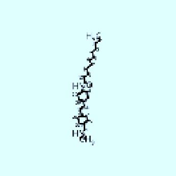 CCCCCCCCCCCC(=O)Nc1ccc(C=Cc2ccc(CNC)cc2)cc1